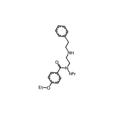 CCCN(CCNCCc1ccccc1)C(=O)c1ccc(OCC)cc1